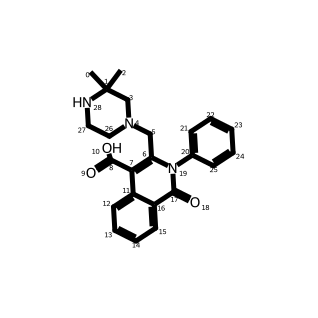 CC1(C)CN(Cc2c(C(=O)O)c3ccccc3c(=O)n2-c2ccccc2)CCN1